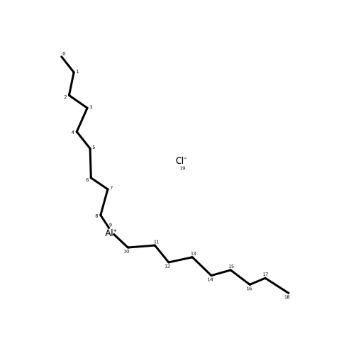 CCCCCCCC[CH2][Al+][CH2]CCCCCCCC.[Cl-]